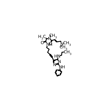 CCCNc1nc(Nc2ccccc2)ncc1C#CCCCNC(=O)C(C)N(C)C(=O)C=CCN(C)C